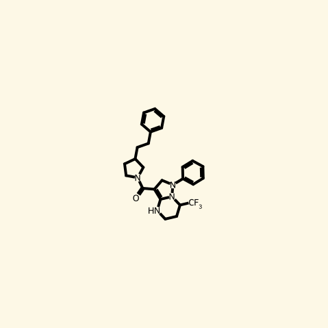 O=C(C1=C2NCCC(C(F)(F)F)N2N(c2ccccc2)C1)N1CCC(CCc2ccccc2)C1